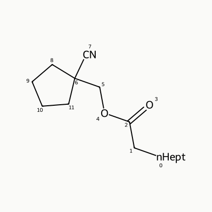 CCCCCCCCC(=O)OCC1(C#N)CCCC1